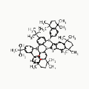 CC(C)(C)c1ccc(N2c3cc4c(cc3B3c5sc6cc7c(cc6c5N(c5ccc6c(c5)C(C)(C)CCC6(C)C)c5cc(C(C)(C)C)cc2c53)C(C)(C)CCC7(C)C)C(C)(C)CCC4(C)C)c(-c2ccccc2)c1